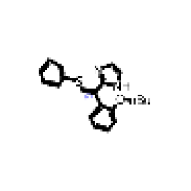 CCCCOc1ccccc1/C(=C/Sc1ccccc1)c1ncc[nH]1